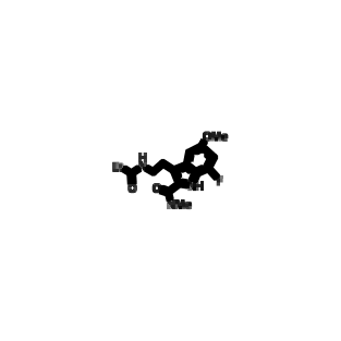 CCC(=O)NCCc1c(C(=O)NC)[nH]c2c(F)cc(OC)cc12